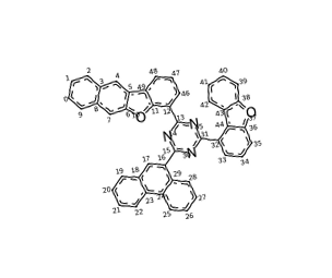 c1ccc2cc3c(cc2c1)oc1c(-c2nc(-c4cc5ccccc5c5ccccc45)nc(-c4cccc5oc6ccccc6c45)n2)cccc13